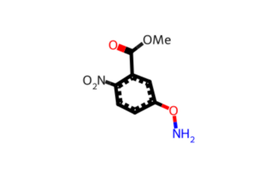 COC(=O)c1cc(ON)ccc1[N+](=O)[O-]